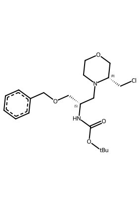 CC(C)(C)OC(=O)N[C@H](COCc1ccccc1)CN1CCOC[C@@H]1CCl